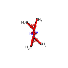 CCCCCCCCCC(=O)OCCCCN(CCCCOC(=O)CCCCCCCCC)CCCCC1NC(=O)C(CCCCN(CCCCOC(=O)CCCCCCCCC)CCCCOC(=O)CCCCCCCCC)NC1=O